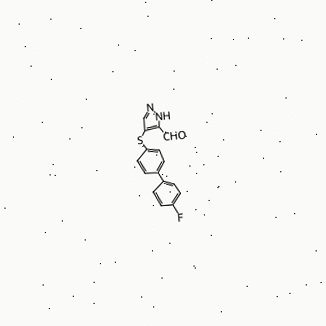 O=Cc1[nH]ncc1Sc1ccc(-c2ccc(F)cc2)cc1